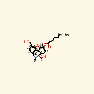 CCCCCCCCCCCCCCCC(=O)OC1=CC[C@@]2(O)[C@@H](C)N(C)CC[C@@]23c2c(C)ccc(CO)c2O[C@@H]13